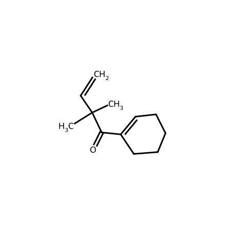 C=CC(C)(C)C(=O)C1=CCCCC1